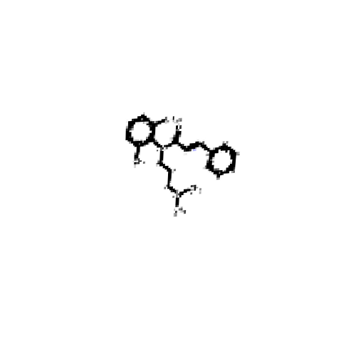 Cc1cccc(C)c1N(CCCN(C)C)C(=O)/C=C/c1ccccc1